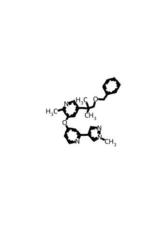 Cc1n[c]c(C(C)(C)COCc2ccccc2)cc1Oc1ccnc(-c2cnn(C)c2)c1